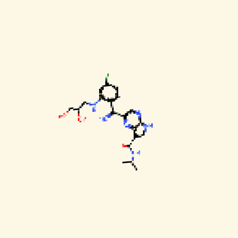 CC(C)NC(=O)c1c[nH]c2ncc(C(=N)c3ccc(Cl)cc3NCC(O)CO)nc12